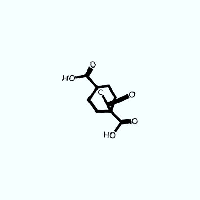 O=C(O)C12CCC(C(=O)O)(CC1)C(=O)C2